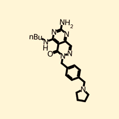 CCCCNc1nc(N)nc2cnn(Cc3ccc(CN4CCCC4)cc3)c(=O)c12